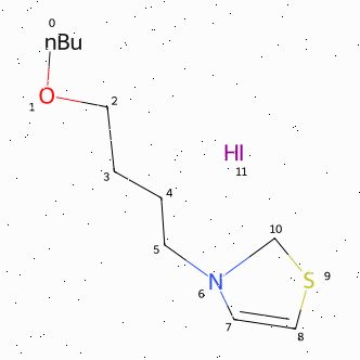 CCCCOCCCCN1C=CSC1.I